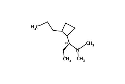 CCCC1CCC1[C@H](CC)N(C)C